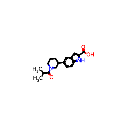 CC(C)C(=O)N1CCCC(c2ccc3[nH]c(C(=O)O)cc3c2)C1